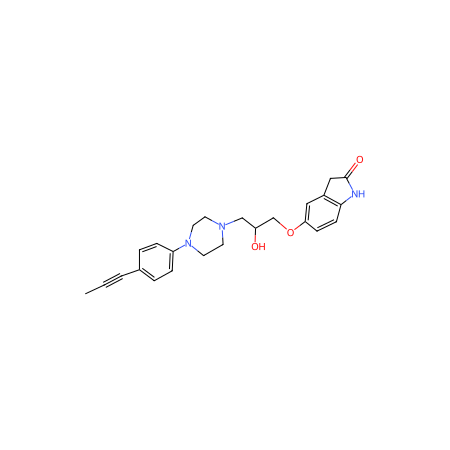 CC#Cc1ccc(N2CCN(CC(O)COc3ccc4c(c3)CC(=O)N4)CC2)cc1